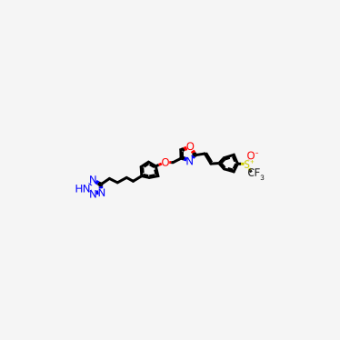 [O-][S+](c1ccc(C=Cc2nc(COc3ccc(CCCCc4nn[nH]n4)cc3)co2)cc1)C(F)(F)F